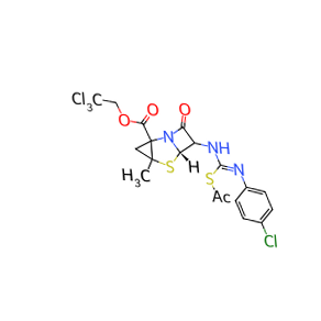 CC(=O)SC(=Nc1ccc(Cl)cc1)NC1C(=O)N2[C@H]1SC1(C)CC21C(=O)OCC(Cl)(Cl)Cl